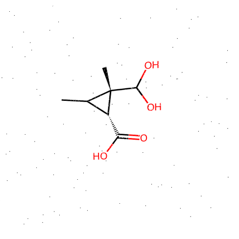 CC1[C@@H](C(=O)O)[C@@]1(C)C(O)O